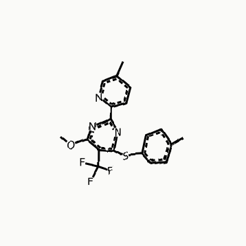 COc1nc(-c2ccc(C)cn2)nc(Sc2ccc(C)cc2)c1C(F)(F)F